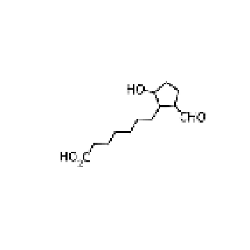 O=CC1CCC(O)C1CCCCCCC(=O)O